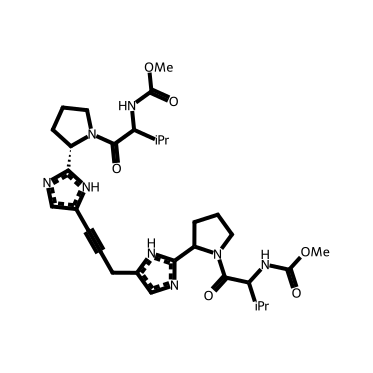 COC(=O)NC(C(=O)N1CCCC1c1ncc(CC#Cc2cnc([C@@H]3CCCN3C(=O)C(NC(=O)OC)C(C)C)[nH]2)[nH]1)C(C)C